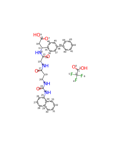 O=C(O)C(F)(F)F.O=C(O)CC(NC(=O)CNC(=O)CCNC(=O)Nc1cccc2ccccc12)c1ccc(-c2ccccc2)cc1